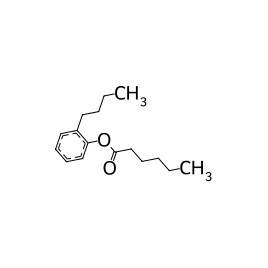 CCCCCC(=O)Oc1ccccc1CCCC